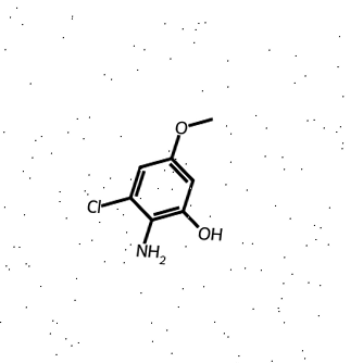 COc1cc(O)c(N)c(Cl)c1